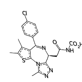 Cc1sc2c(c1C)C(c1ccc(Cl)cc1)=N[C@@H](CC(=O)NC(=O)O)c1nnc(C)n1-2